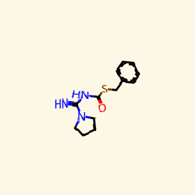 N=C(NC(=O)SCc1ccccc1)N1CCCC1